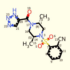 C[C@@H]1CN(S(=O)(=O)c2ccccc2C#N)[C@@H](C)CN1C(=O)c1cnn[nH]1